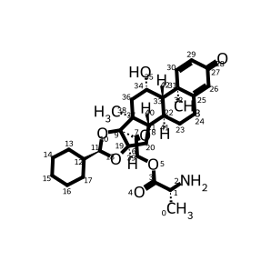 C[C@@H](N)C(=O)OCC(=O)[C@@]12O[C@H](C3CCCCC3)O[C@@H]1C[C@H]1[C@@H]3CCC4=CC(=O)C=C[C@]4(C)[C@H]3[C@@H](O)C[C@@]12C